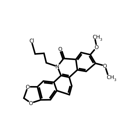 COc1cc2c(=O)n(CCCCl)c3c4cc5c(cc4ccc3c2cc1OC)OCO5